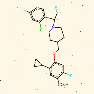 O=C(O)c1cc(C2CC2)c(OCC2CCN(C(CF)c3ccc(F)cc3Cl)CC2)cc1F